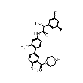 Cc1cc(NC(=O)C(O)c2cc(F)cc(F)c2)ccc1-c1cnc(N)c(C(=O)N2CCNCC2)c1